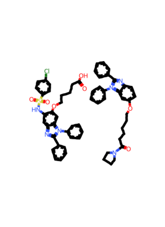 O=C(CCCCCOc1ccc2nc(-c3ccccc3)n(-c3ccccc3)c2c1)N1CCCC1.O=C(O)CCCCOc1cc2c(cc1NS(=O)(=O)c1ccc(Cl)cc1)nc(-c1ccccc1)n2-c1ccccc1